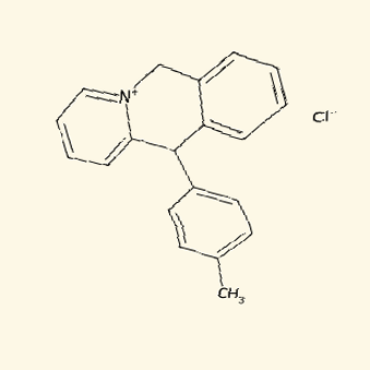 Cc1ccc(C2c3ccccc3C[n+]3ccccc32)cc1.[Cl-]